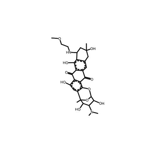 COCCNC1CC(C)(O)Cc2cc3c(c(O)c21)C(=O)c1c(O)cc2c(c1C3=O)OC1OC2(C)C(O)C(N(C)C)C1O